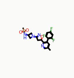 Cc1cnc(C2CC(N3CC(NS(C)(=O)=O)C3)=NO2)c(-c2c(F)cc(F)cc2F)c1